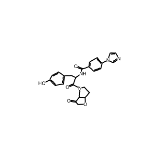 O=C(NC(Cc1ccc(O)cc1)C(=O)N1CCC2OCC(=O)C21)c1ccc(-n2ccnc2)cc1